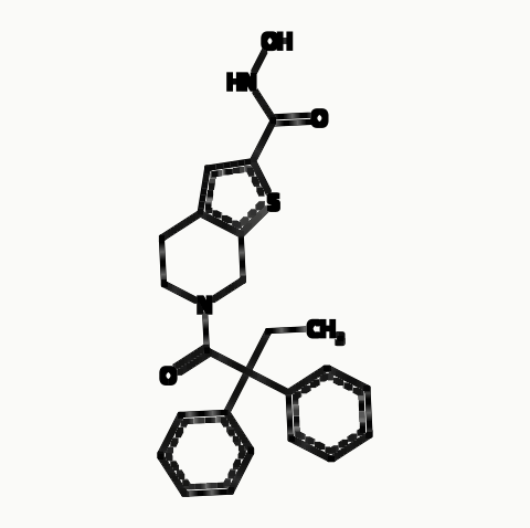 CCC(C(=O)N1CCc2cc(C(=O)NO)sc2C1)(c1ccccc1)c1ccccc1